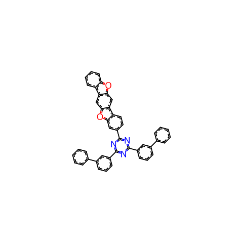 c1ccc(-c2cccc(-c3nc(-c4cccc(-c5ccccc5)c4)nc(-c4ccc5c(c4)oc4cc6c(cc45)oc4ccccc46)n3)c2)cc1